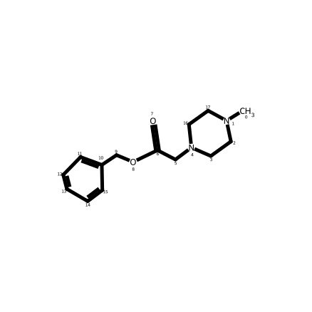 CN1CCN(CC(=O)OCc2ccccc2)CC1